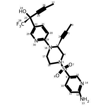 CC#C[C@H]1CN(S(=O)(=O)c2ccc(N)nc2)CCN1c1ccc([C@](O)(C#CC)C(F)(F)F)cn1